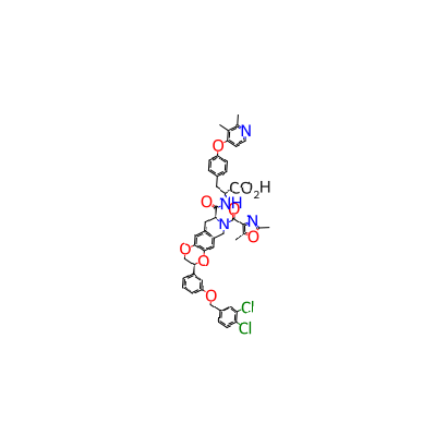 Cc1nc(C(=O)N2Cc3cc4c(cc3C[C@H]2C(=O)NC(Cc2ccc(Oc3ccnc(C)c3C)cc2)C(=O)O)OC[C@H](c2cccc(OCc3ccc(Cl)c(Cl)c3)c2)O4)c(C)o1